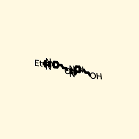 CCc1cnc(N2CCC(CCCOc3ncc4c(n3)CCN(CCCCO)C4)CC2)nc1